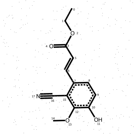 CCOC(=O)/C=C/c1ccc(O)c(OC)c1C#N